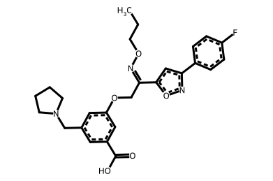 CCCON=C(COc1cc(CN2CCCC2)cc(C(=O)O)c1)c1cc(-c2ccc(F)cc2)no1